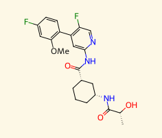 COc1cc(F)ccc1-c1cc(NC(=O)[C@H]2CCC[C@@H](NC(=O)[C@@H](C)O)C2)ncc1F